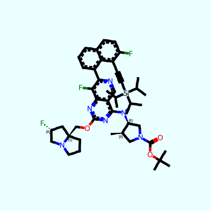 CC(C)[Si](C#Cc1c(F)ccc2cccc(-c3ncc4c(N(C)[C@H]5CN(C(=O)OC(C)(C)C)C[C@H]5C)nc(OC[C@@]56CCCN5C[C@H](F)C6)nc4c3F)c12)(C(C)C)C(C)C